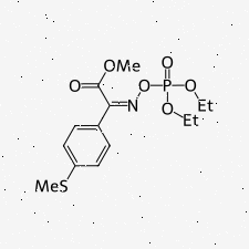 CCOP(=O)(OCC)O/N=C(\C(=O)OC)c1ccc(SC)cc1